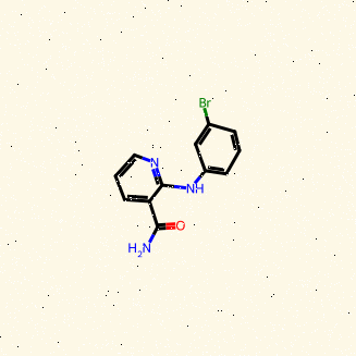 NC(=O)c1cccnc1Nc1cccc(Br)c1